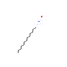 CCCCCCCCCCCCCNNNNC(=O)O